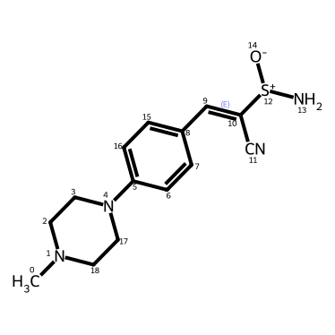 CN1CCN(c2ccc(/C=C(\C#N)[S+](N)[O-])cc2)CC1